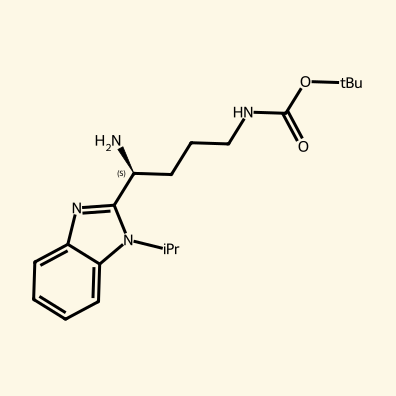 CC(C)n1c([C@@H](N)CCCNC(=O)OC(C)(C)C)nc2ccccc21